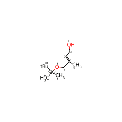 CC(=CCO)CO[Si](C)(C)C(C)(C)C